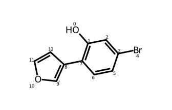 Oc1cc(Br)ccc1-c1[c]occ1